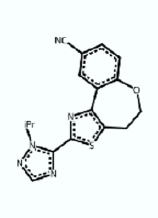 CC(C)n1ncnc1-c1nc2c(s1)CCOc1ccc(C#N)cc1-2